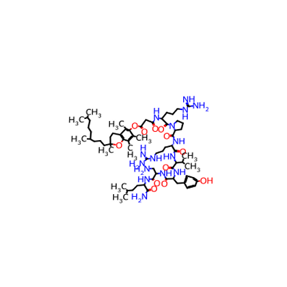 Cc1c(C)c2c(c(C)c1OC(=O)CC(=O)NC(CCCNC(=N)N)C(=O)N1CCCC1C(=O)NC(CCCNC(=N)N)C(=O)NC(C(=O)NC(Cc1ccc(O)cc1)C(=O)NC(CN)C(=O)NC(CCC(C)C)C(N)=O)C(C)C)CCC(C)(CCCC(C)CCCC(C)C)O2